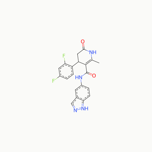 CC1=C(C(=O)Nc2ccc3[nH]ncc3c2)C(c2ccc(F)cc2F)CC(=O)N1